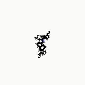 CCCc1cccc(/C(C#N)=C/c2cccc3cc([N+](=O)[O-])ccc23)c1Cl